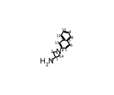 NC1CN(c2ccc3ccccc3c2)C1